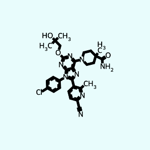 Cc1nc(C#N)ccc1-c1nc2c(N3CCC(C)(C(N)=O)CC3)nc(OCC(C)(C)O)nc2n1-c1ccc(Cl)cc1